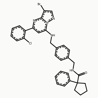 O=C(NCc1ccc(CNc2cc(-c3ccccc3Cl)nc3c(Br)cnn23)cc1)C1(c2ccccc2)CCCC1